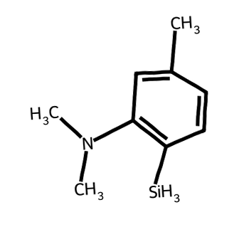 Cc1ccc([SiH3])c(N(C)C)c1